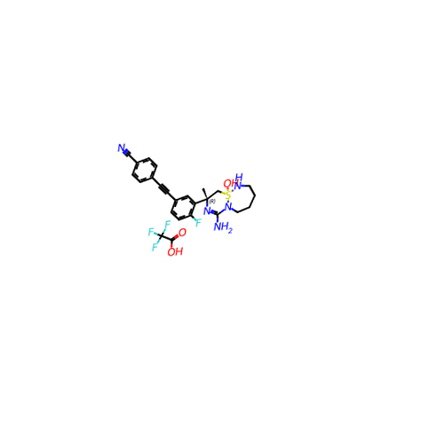 C[C@@]1(c2cc(C#Cc3ccc(C#N)cc3)ccc2F)CS2(O)NCCCCN2C(N)=N1.O=C(O)C(F)(F)F